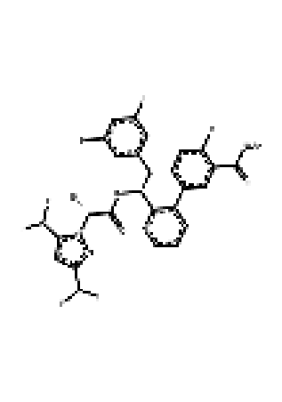 CC[C@H](C(=O)N[C@@H](Cc1cc(F)cc(F)c1)c1ncccc1-c1ccc(F)c(C(=O)NC)c1)n1nc(C(F)F)cc1C(F)F